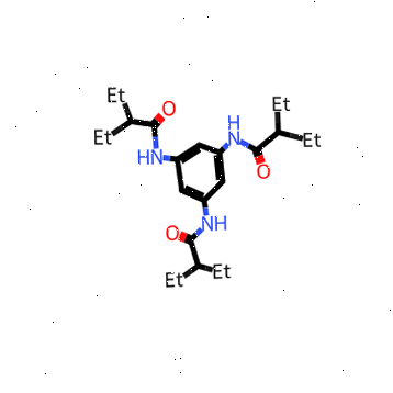 CCC(CC)C(=O)Nc1cc(NC(=O)C(CC)CC)cc(NC(=O)C(CC)CC)c1